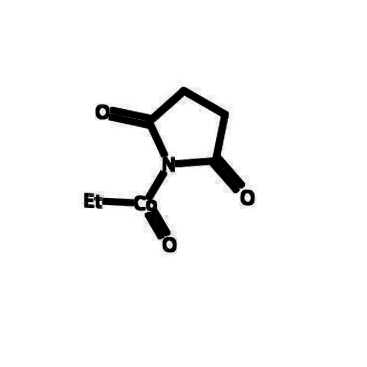 C[CH2][Co](=[O])[N]1C(=O)CCC1=O